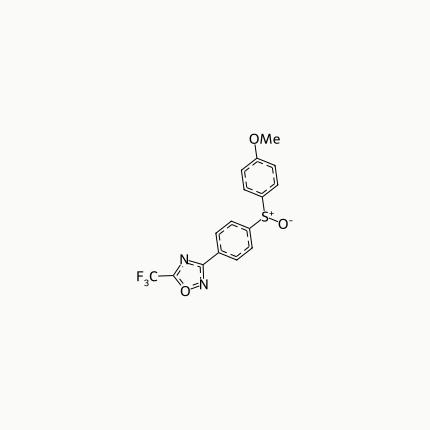 COc1ccc([S+]([O-])c2ccc(-c3noc(C(F)(F)F)n3)cc2)cc1